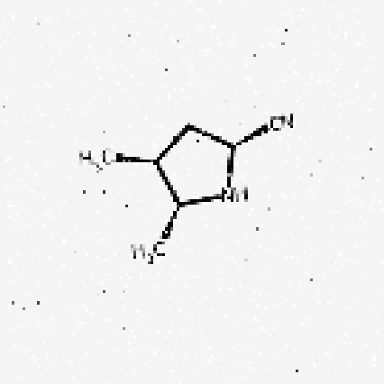 C[C@@H]1N[C@H](C#N)C[C@@H]1C